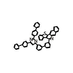 c1ccc(-c2ccc(-c3cc(-c4cccc(-c5cccc(-c6nc7cc8ccccc8cc7c7sc8ccccc8c67)c5)c4)nc(-c4ccc(-c5ccccc5)cc4)n3)cc2)cc1